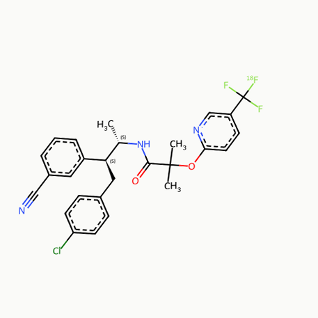 C[C@H](NC(=O)C(C)(C)Oc1ccc(C(F)(F)[18F])cn1)[C@@H](Cc1ccc(Cl)cc1)c1cccc(C#N)c1